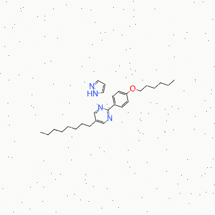 CCCCCCCCc1cnc(-c2ccc(OCCCCCC)cc2)nc1.c1cn[nH]c1